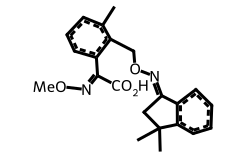 CO/N=C(/C(=O)O)c1cccc(C)c1CO/N=C1\CC(C)(C)c2ccccc21